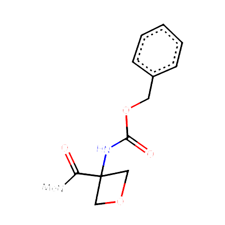 CNC(=O)C1(NC(=O)OCc2ccccc2)COC1